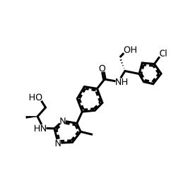 Cc1cnc(N[C@@H](C)CO)nc1-c1ccc(C(=O)N[C@H](CO)c2cccc(Cl)c2)cc1